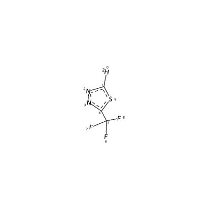 [2H]c1nnc(C(F)(F)F)s1